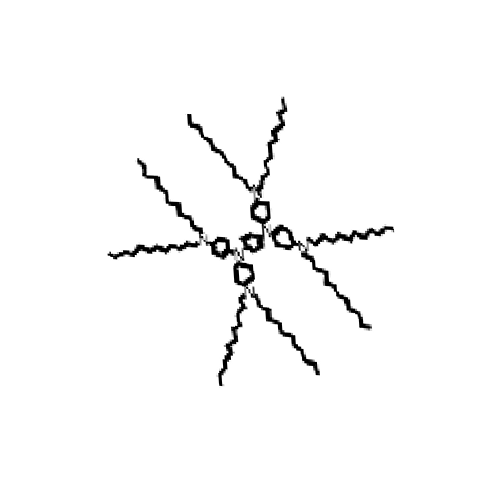 CCCCCCCCCCCCN(CCCCCCCCCCCC)c1ccc(N(c2ccc(N(CCCCCCCCCCCC)CCCCCCCCCCCC)cc2)c2ccc(N(c3ccc(N(CCCCCCCCCCCC)CCCCCCCCCCCC)cc3)c3ccc(N(CCCCCCCCCCCC)CCCCCCCCCCCC)cc3)cc2)cc1